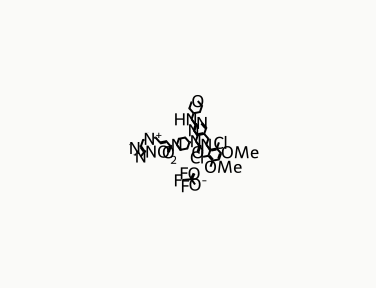 COc1cc(OC)c(Cl)c(N2Cc3cnc(NC4CCOCC4)nc3N(C3CCN(C(=O)/C=C/C[N+](C)(C)Cc4c([N+](=O)[O-])ncn4C)CC3)C2=O)c1Cl.O=C([O-])C(F)(F)F